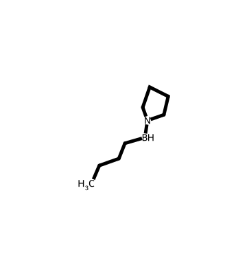 CCCCBN1CCCC1